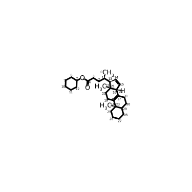 C[C@H](CCC(=O)OC1CCCCC1)[C@H]1C=C[C@@H]2C3=C(CC[C@@]21C)[C@@]1(C)CCCCC1CC3